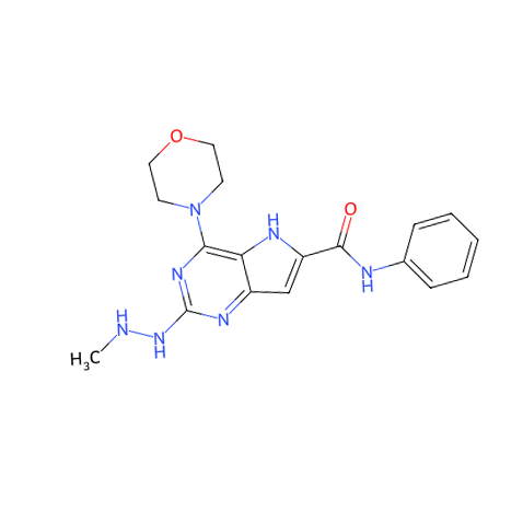 CNNc1nc(N2CCOCC2)c2[nH]c(C(=O)Nc3ccccc3)cc2n1